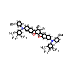 Cc1cc(N(c2cccc(C(C)(C)C)c2)c2ccc3cc4c(cc3c2)oc2c3oc5cc6cc(N(c7cccc(C(C)(C)C)c7)c7cc(C)c(C)c(C)c7)ccc6cc5c3c(C(C)C)c(C(C)C)c42)cc(C)c1C